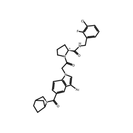 CC(=O)c1cn(CC(=O)N2CCC[C@H]2C(=O)NCc2cccc(Cl)c2F)c2ccc(C(=O)N3CC4CCC3C4)cc12